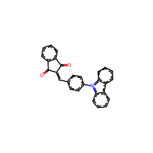 O=C1C(=Cc2ccc(-n3c4ccccc4c4ccccc43)cc2)C(=O)c2ccccc21